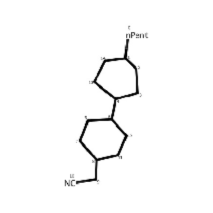 CCCCCC1CCC(C2CCC(CC#N)CC2)CC1